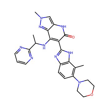 Cc1c(N2CCOCC2)ccc2nc(-c3c(NC(C)c4ncccn4)c4nn(C)cc4[nH]c3=O)[nH]c12